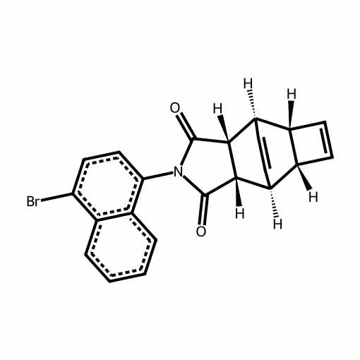 O=C1[C@@H]2[C@@H]3C=C[C@@H]([C@H]4C=C[C@H]43)[C@@H]2C(=O)N1c1ccc(Br)c2ccccc12